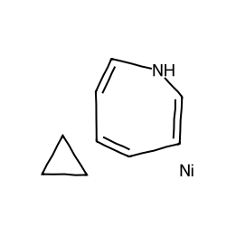 C1=CC=CNC=C1.C1CC1.[Ni]